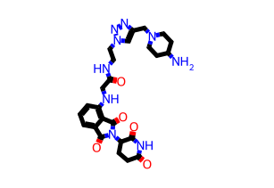 NC1CCN(Cc2cn(CCNC(=O)CNc3cccc4c3C(=O)N(C3CCC(=O)NC3=O)C4=O)nn2)CC1